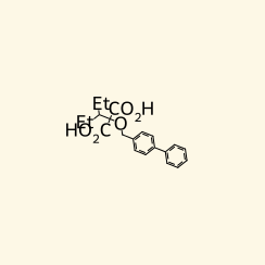 CCC(CC)C(OCc1ccc(-c2ccccc2)cc1)(C(=O)O)C(=O)O